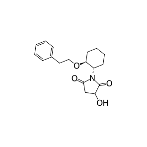 O=C1CC(O)C(=O)N1[C@H]1CCCC[C@@H]1OCCc1ccccc1